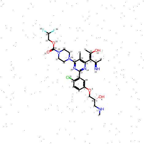 CNC[C@@H](O)COc1ccc(Cl)c(-c2nc(/C(C(C)=N)=C(\C)O)c(C)c(N3CCN(C(=O)OCC(F)F)CC3)n2)c1